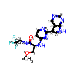 COCC(Nc1ccnc(-c2c[nH]c3ncncc23)n1)C(=O)NCC(F)(F)F